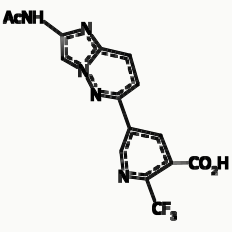 CC(=O)Nc1cn2nc(-c3cnc(C(F)(F)F)c(C(=O)O)c3)ccc2n1